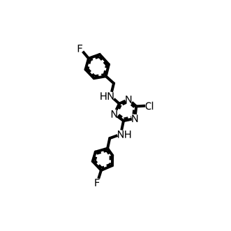 Fc1ccc(CNc2nc(Cl)nc(NCc3ccc(F)cc3)n2)cc1